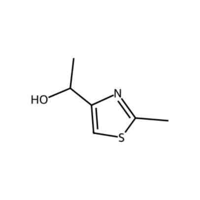 Cc1nc(C(C)O)cs1